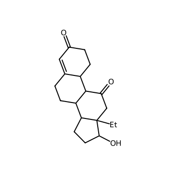 CCC12CC(=O)C3C4CCC(=O)C=C4CCC3C1CCC2O